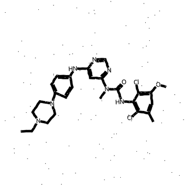 CCN1CCN(c2ccc(Nc3cc(N(C)C(=O)Nc4c(Cl)c(C)cc(OC)c4Cl)ncn3)cc2)CC1